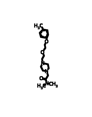 Cc1ccc(OCCOCCN2CCN(CC(=O)N(C)C)CC2)cc1